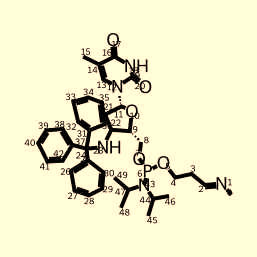 C/N=C/CCOP(OC[C@H]1O[C@@H](n2cc(C)c(=O)[nH]c2=O)CC1NC(c1ccccc1)(c1ccccc1)c1ccccc1)N(C(C)C)C(C)C